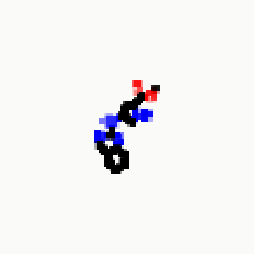 COC(=O)c1cc(Nc2ncc3ccccc3n2)c[nH]1